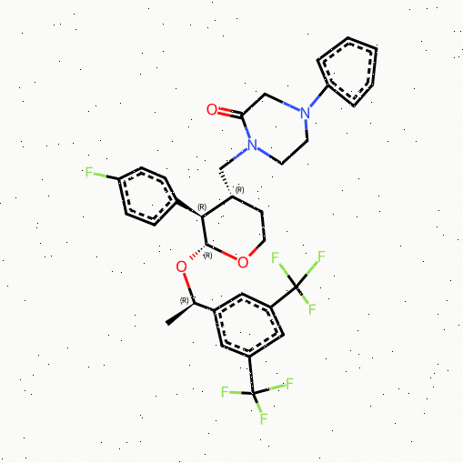 C[C@@H](O[C@H]1OCC[C@@H](CN2CCN(c3ccccc3)CC2=O)[C@@H]1c1ccc(F)cc1)c1cc(C(F)(F)F)cc(C(F)(F)F)c1